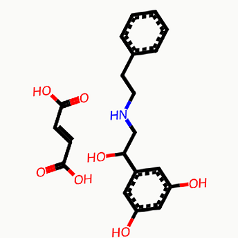 O=C(O)C=CC(=O)O.Oc1cc(O)cc(C(O)CNCCc2ccccc2)c1